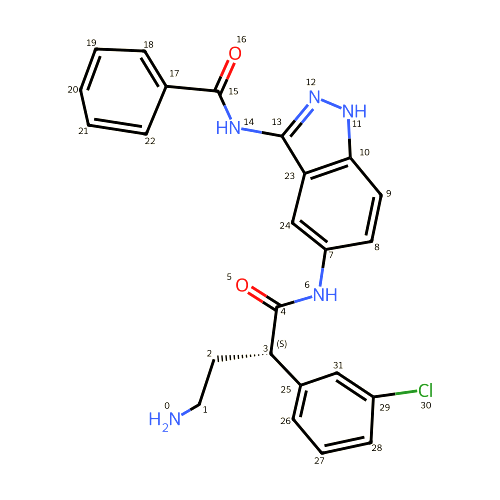 NCC[C@H](C(=O)Nc1ccc2[nH]nc(NC(=O)c3ccccc3)c2c1)c1cccc(Cl)c1